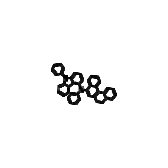 c1ccc(N(c2cc3ccc4ccccc4c3c3ccccc23)c2cccc3c2c2ccccc2n3-c2ccccc2)cc1